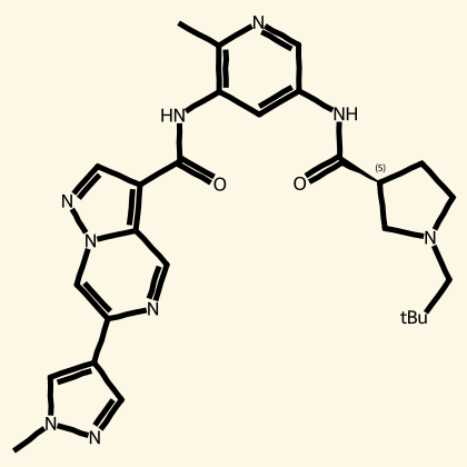 Cc1ncc(NC(=O)[C@H]2CCN(CC(C)(C)C)C2)cc1NC(=O)c1cnn2cc(-c3cnn(C)c3)ncc12